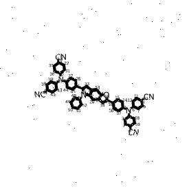 N#Cc1ccc(N(c2ccc(C#N)cc2)c2ccc(-c3cc4cc5c(cc(-c6ccc(N(c7ccc(C#N)cc7)c7ccc(C#N)cc7)cc6)n5-c5ccccc5)cc4o3)cc2)cc1